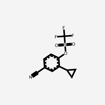 N#Cc1ccc(OS(=O)(=O)C(F)(F)F)c(C2CC2)c1